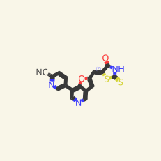 N#Cc1ccc(-c2cncc3cc(/C=C4\SC(=S)NC4=O)oc23)cn1